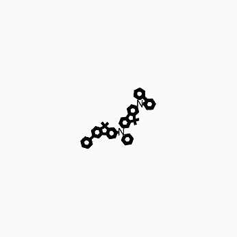 CC1(C)c2ccc(-c3ccccc3)cc2-c2ccc(N(c3ccccc3)c3ccc4c(c3)C(C)(C)c3cc(-n5c6ccccc6c6ccccc65)ccc3-4)cc21